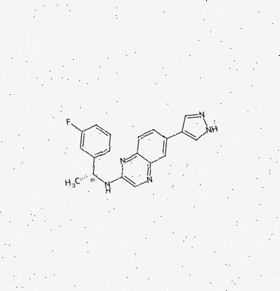 C[C@@H](Nc1cnc2cc(-c3cn[nH]c3)ccc2n1)c1cccc(F)c1